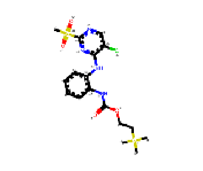 CS(C)(C)CCOC(=O)Nc1ccccc1Nc1nc(S(C)(=O)=O)ncc1Cl